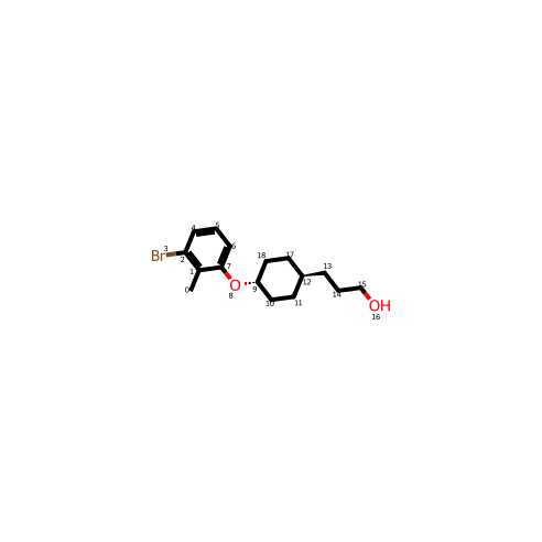 Cc1c(Br)cccc1O[C@H]1CC[C@H](CCCO)CC1